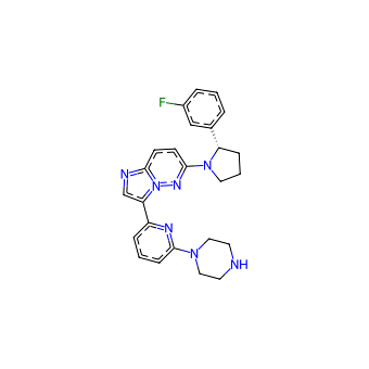 Fc1cccc([C@@H]2CCCN2c2ccc3ncc(-c4cccc(N5CCNCC5)n4)n3n2)c1